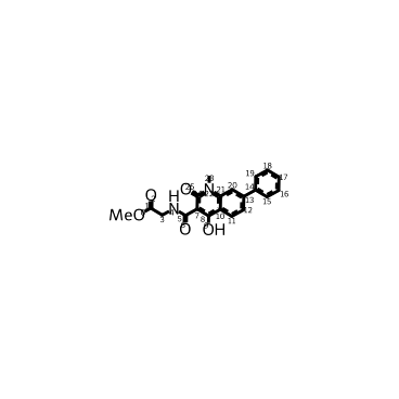 COC(=O)CNC(=O)c1c(O)c2ccc(-c3ccccc3)cc2n(C)c1=O